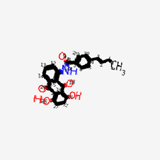 CCCCc1ccc(C(=O)Nc2cccc3c2C(=O)c2c(O)ccc(O)c2C3=O)cc1